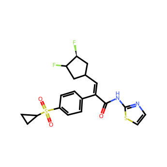 O=C(Nc1nccs1)/C(=C/C1CC(F)[C@@H](F)C1)c1ccc(S(=O)(=O)C2CC2)cc1